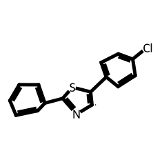 Clc1ccc(-c2[c]nc(-c3ccccc3)s2)cc1